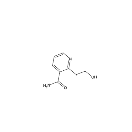 NC(=O)c1cccnc1[CH]CO